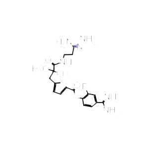 CC(C)(Cc1ccc(C(=O)Oc2ccc(C(=N)N)cc2F)s1)C(=O)NCC/C(N)=N/N